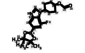 CC1(C)OB(c2cc(F)c3c(c2)ncn3C2CCC(OC=O)CC2)OC1(C)C